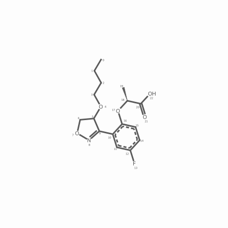 CCCCOC1CON=C1c1cc(F)ccc1O[C@@H](C)C(=O)O